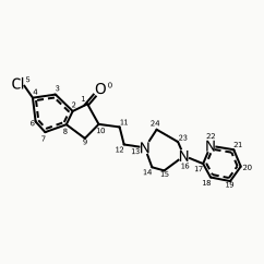 O=C1c2cc(Cl)ccc2CC1CCN1CCN(c2ccccn2)CC1